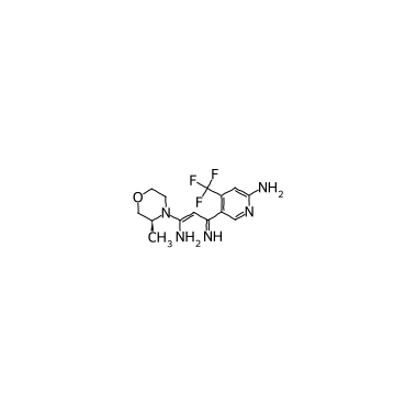 C[C@H]1COCCN1/C(N)=C/C(=N)c1cnc(N)cc1C(F)(F)F